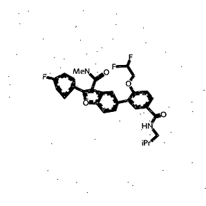 CNC(=O)c1c(-c2ccc(F)cc2)oc2ccc(-c3cc(C(=O)NCC(C)C)ccc3OCC(F)F)cc12